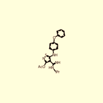 CC(=O)Oc1nsc(Nc2ccc(Oc3ccccc3)cc2)c1C(=N)NC(C)C